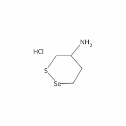 Cl.NC1CC[Se]SC1